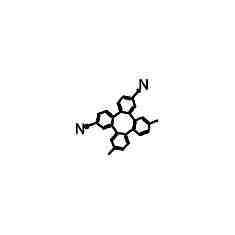 Cc1ccc2c(c1)-c1cc(C#N)ccc1-c1ccc(C#N)cc1-c1cc(C)ccc1-2